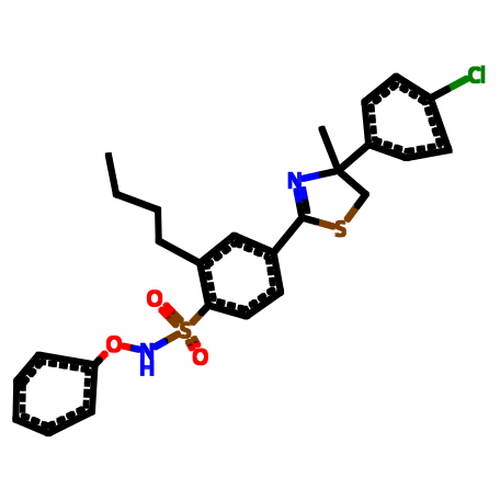 CCCCc1cc(C2=NC(C)(c3ccc(Cl)cc3)CS2)ccc1S(=O)(=O)NOc1ccccc1